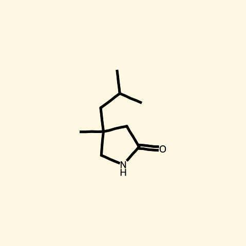 CC(C)CC1(C)CNC(=O)C1